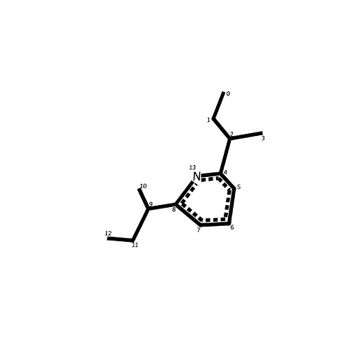 CCC(C)c1cccc(C(C)CC)n1